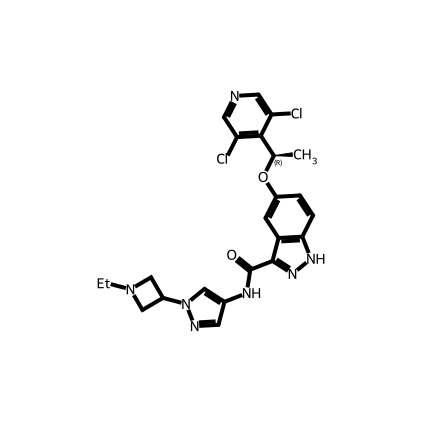 CCN1CC(n2cc(NC(=O)c3n[nH]c4ccc(O[C@H](C)c5c(Cl)cncc5Cl)cc34)cn2)C1